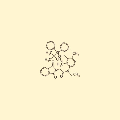 CCN(C(=O)CN1C(=O)c2ccccc2C1=O)c1ccc(C)c(CO[Si](c2ccccc2)(c2ccccc2)C(C)(C)C)c1C